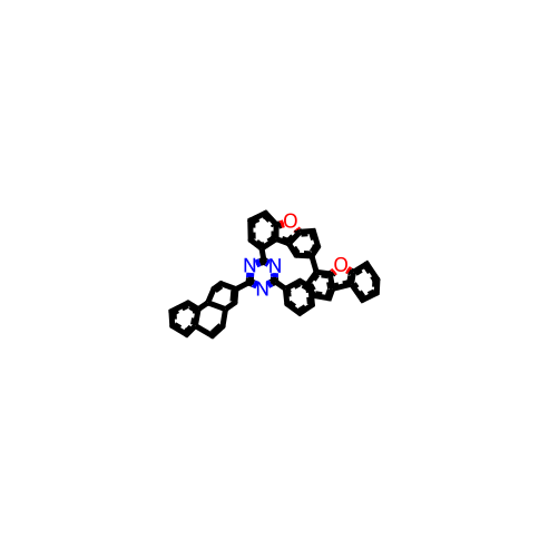 C1=CC2c3ccccc3C=CC2C=C1c1nc(-c2ccccc2)nc(-c2cccc3oc4ccc(-c5cccc6c5oc5ccccc56)cc4c23)n1